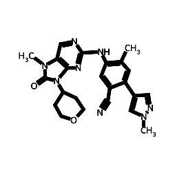 Cc1cc(-c2cnn(C)c2)c(C#N)cc1Nc1ncc2c(n1)n(C1CCOCC1)c(=O)n2C